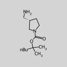 CCCCC(C)(C)OC(=O)N1CC[C@@H](CN)C1